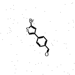 O=Cc1ccc(-c2csc(Br)c2)cc1